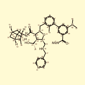 CNC(=O)c1cc(-c2cccc(CN3O[C@@H](CNCc4ccncc4)[C@@H]([C@H](C)O)[C@H]3C(=O)N[C@H]3C[C@H]4C[C@@H]([C@@H]3C)C4(C)C)c2C)cc(N(C)C)c1